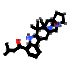 CC(C)=CC(=O)c1cccc2c3c([nH]c12)C(C)(C)[C@@H]1C[C@]24CCCN2C[C@@]1(C3)NC4O